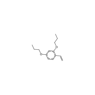 C=Cc1ccc(OCCC)cc1OCCC